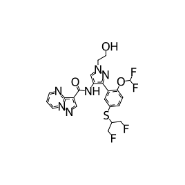 O=C(Nc1cn(CCO)nc1-c1cc(SC(CF)CF)ccc1OC(F)F)c1cnn2cccnc12